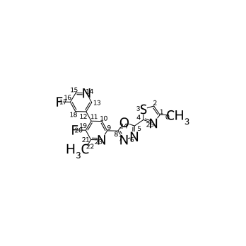 Cc1csc(-c2nnc(-c3cc(-c4cncc(F)c4)c(F)c(C)n3)o2)n1